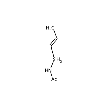 CC=C[SiH2]NC(C)=O